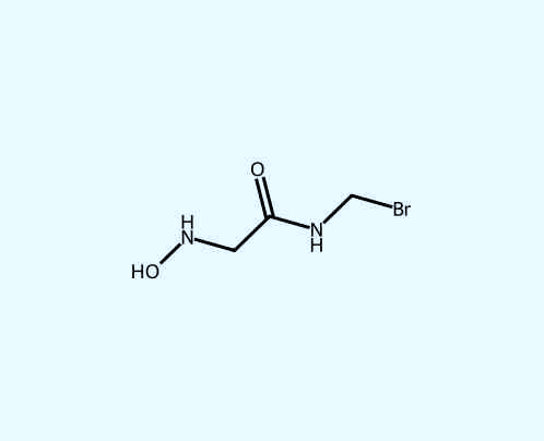 O=C(CNO)NCBr